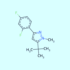 Cn1nc(-c2ccc(F)cc2F)cc1C(C)(C)C